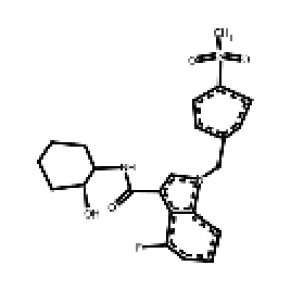 CS(=O)(=O)c1ccc(Cn2cc(C(=O)NC3CCCC[C@@H]3O)c3c(F)cccc32)cc1